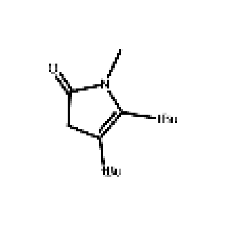 CN1C(=O)CC(C(C)(C)C)=C1C(C)(C)C